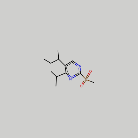 CCC(C)c1cnc(S(C)(=O)=O)nc1C(C)C